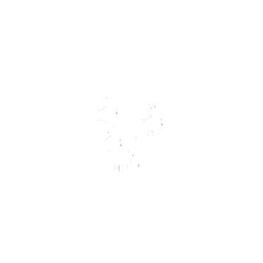 OB(O)Oc1cccc(-c2ccc(Cl)cc2)c1COc1cccc(Cl)c1